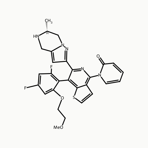 COCCOc1cc(F)cc(F)c1-c1c(-c2cc3n(n2)C[C@@H](C)NC3)nc(-n2ccccc2=O)c2ccsc12